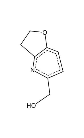 OCc1ccc2c(n1)CCO2